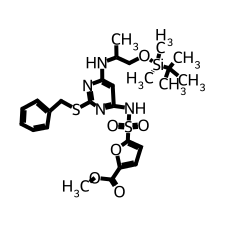 COC(=O)c1ccc(S(=O)(=O)Nc2cc(NC(C)CO[Si](C)(C)C(C)(C)C)nc(SCc3ccccc3)n2)o1